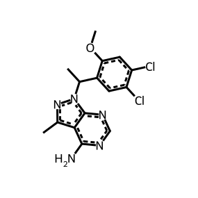 COc1cc(Cl)c(Cl)cc1C(C)n1nc(C)c2c(N)ncnc21